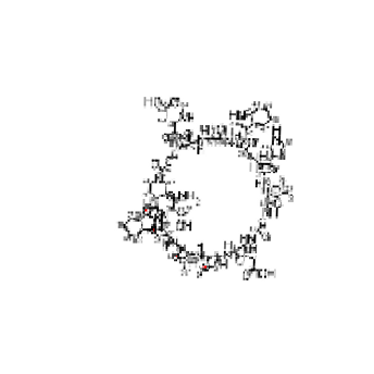 CCC[C@@H]1NC(=O)[C@H](CCC(=O)O)NC(=O)CNC(=O)[C@H](CC(C)C)NC(=O)[C@H](Cc2c[nH]cn2)NC(=O)[C@H](Cc2c[nH]c3ccccc23)NC(=O)[C@H](C)NC(=O)[C@@H](NC(=O)[C@H](CC(=O)O)NC)CCC(=O)N2CCC(C(=O)N[C@H](C(N)=O)C(C)O)(CC2)NC(=O)[C@H](Cc2c[nH]c3ccccc23)NC(=O)[C@H](C(C)C)NC1=O